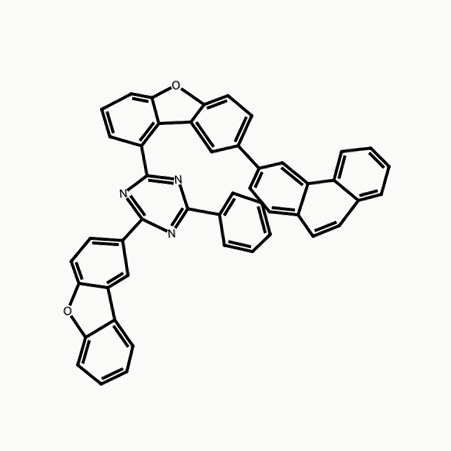 c1ccc(-c2nc(-c3ccc4oc5ccccc5c4c3)nc(-c3cccc4oc5ccc(-c6ccc7ccc8ccccc8c7c6)cc5c34)n2)cc1